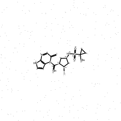 C=C1C=Nc2[nH]ccc2N1C(=N)[C@H]1C[C@@H](NS(=O)(=O)C2(CCCC)CC2)C[C@H]1I